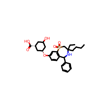 CCCCC1(CC)CS(=O)(=O)c2cc(O[C@H]3CC(O)C[C@@H](C(=O)O)C3)ccc2C(c2ccccc2)N1